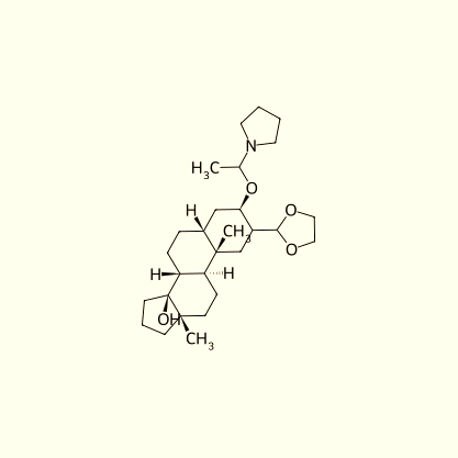 CC(O[C@@H]1C[C@H]2CC[C@@H]3[C@H](CC[C@]4(C)CCC[C@]34O)[C@@]2(C)CC1C1OCCO1)N1CCCC1